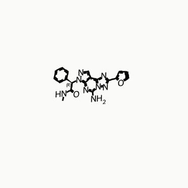 CNC(=O)[C@@H](c1ccccc1)n1ncc2c1nc(N)n1nc(-c3cc#co3)nc21